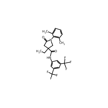 CCC1(C(=O)Nc2cc(C(F)(F)F)cc(C(F)(F)F)c2)CC(=O)N(c2c(C)cccc2C)C1